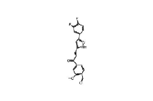 COc1cc(C(=O)/C=C/c2cc(-c3ccc(F)c(F)c3)n[nH]2)ccc1C=O